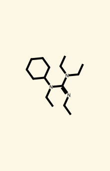 CC/N=C(/N(CC)CC)N(CC)C1CCCCC1